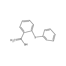 C=C(S)c1ccccc1Sc1ccccc1